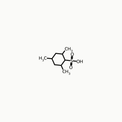 CC1CC(C)C(S(=O)(=O)O)C(C)C1